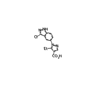 CCc1c(C(=O)O)cnn1-c1ccc2[nH]nc(Cl)c2c1